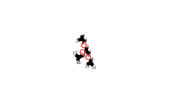 CC(C)COCC(COCC(C)C)OCC(C)C